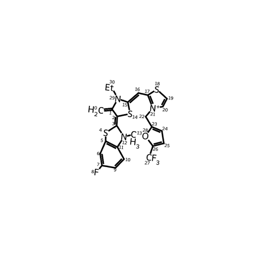 C=C1/C(=C2\Sc3cc(F)ccc3N2C)S/C(=C\c2scc[n+]2Cc2ccc(C(F)(F)F)o2)N1CC